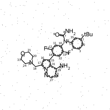 CC(C)(C)c1cccc(N(C(N)=O)c2cc(F)c(-c3cc(CN4CCOCC4)n4ncnc(N)c34)cc2F)c1